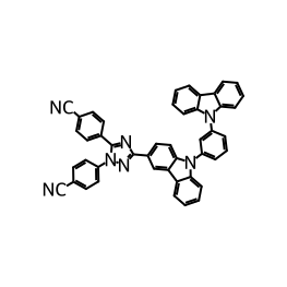 N#Cc1ccc(-c2nc(-c3ccc4c(c3)c3ccccc3n4-c3cccc(-n4c5ccccc5c5ccccc54)c3)nn2-c2ccc(C#N)cc2)cc1